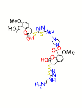 COc1ccc2c(c1C(=O)O)OB(O)[C@@H](Sc1nnc(NCCN3CCN(OC(=O)c4c(OC)ccc5c4OB(O)[C@@H](Sc4nnc(NCCN)s4)C5)CC3)s1)C2